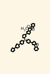 CC1(C)c2cc(-c3cccc(N(c4ccc(-c5ccc(-c6ccccc6)cc5)cc4)c4ccc(-c5ccc6oc7ccccc7c6c5)cc4)c3)ccc2-c2oc3ccccc3c21